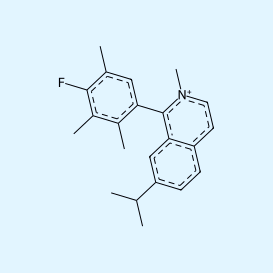 Cc1cc(-c2c3cc(C(C)C)ccc3cc[n+]2C)c(C)c(C)c1F